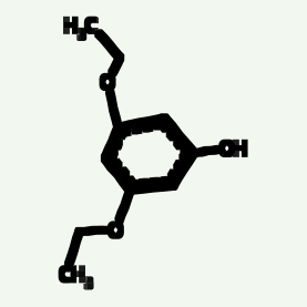 CCOc1cc(O)cc(OCC)c1